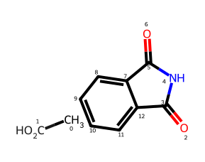 CC(=O)O.O=C1NC(=O)c2ccccc21